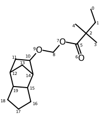 CCC(C)(C)C(=O)OCOC1CC2CC1C1CCCC21